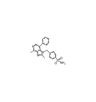 Cc1ncc(-c2ccccc2)c2c1nc(C)n2Cc1ccc(S(N)(=O)=O)cc1